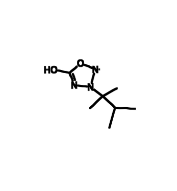 CC(C)C(C)(C)N1[N]OC(O)=N1